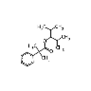 CC(C)C(OC(=O)C(C)(C)c1ccccc1)C(C)C